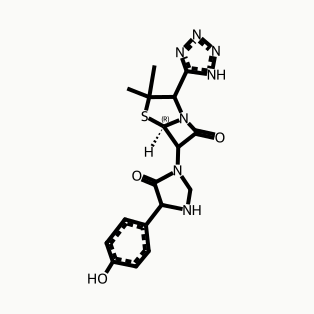 CC1(C)S[C@@H]2C(N3CNC(c4ccc(O)cc4)C3=O)C(=O)N2C1c1nnn[nH]1